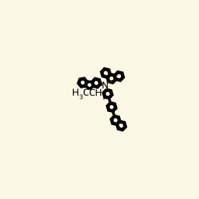 CC1(C)c2ccccc2-c2ccc(N(c3ccc(-c4ccc(-c5ccc6ccccc6c5)cc4)cc3)c3cc4ccccc4c4ccccc34)cc21